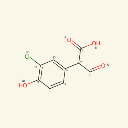 O=[C]C(C(=O)O)c1ccc(O)c(Cl)c1